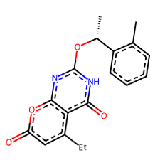 CCc1cc(=O)oc2nc(O[C@H](C)c3ccccc3C)[nH]c(=O)c12